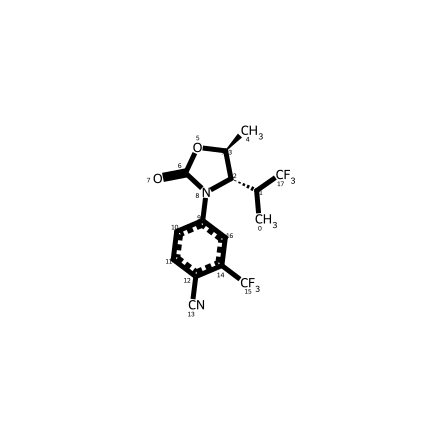 CC([C@H]1[C@H](C)OC(=O)N1c1ccc(C#N)c(C(F)(F)F)c1)C(F)(F)F